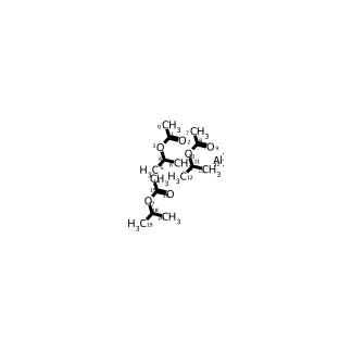 CC(=O)OC(C)C.CC(=O)OC(C)C.CC(=O)OC(C)C.[Al]